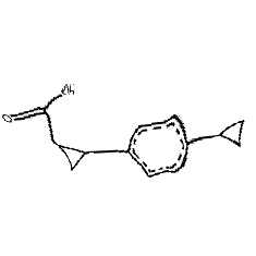 O=C(O)C1CC1c1ccc(C2CC2)cc1